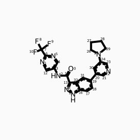 O=C(Nc1cnc(C(F)(F)F)nc1)c1n[nH]c2ccc(-c3cncc(N4CCCC4)c3)cc12